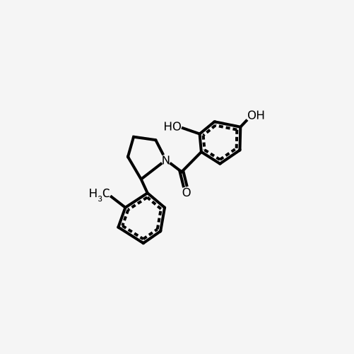 Cc1ccccc1C1CCCN1C(=O)c1ccc(O)cc1O